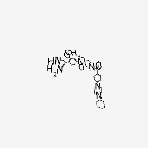 COc1cc(N2CCC3(CCN(C(=O)c4ccc(N5CCN(C6CCCCC6)CC5)cc4)CC3)C2=O)ccc1/C(C=N)=C/N